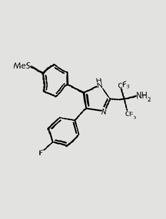 CSc1ccc(-c2[nH]c(C(N)(C(F)(F)F)C(F)(F)F)nc2-c2ccc(F)cc2)cc1